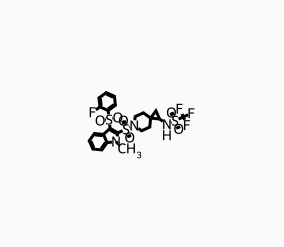 Cn1c(S(=O)(=O)N2CCC3(CC2)CC3NS(=O)(=O)C(F)(F)F)c(S(=O)(=O)c2ccccc2F)c2ccccc21